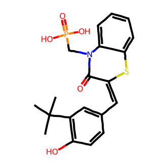 CC(C)(C)c1cc(/C=C2/Sc3ccccc3N(CP(=O)(O)O)C2=O)ccc1O